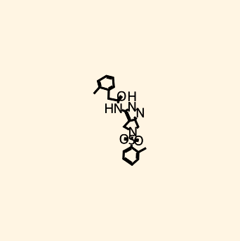 Cc1ccccc1CC(=O)Nc1[nH]nc2c1CN(S(=O)(=O)c1ccccc1C)C2